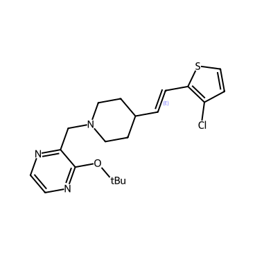 CC(C)(C)Oc1nccnc1CN1CCC(/C=C/c2sccc2Cl)CC1